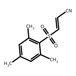 Cc1cc(C)c(S(=O)(=O)/C=C/C#N)c(C)c1